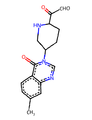 Cc1ccc2c(=O)n(C3CCC(C(=O)C=O)NC3)cnc2c1